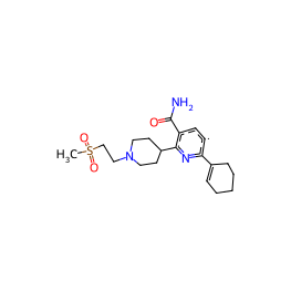 CS(=O)(=O)CCN1CCC(c2nc(C3=CCCCC3)[c]cc2C(N)=O)CC1